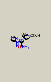 N#CCC1(n2cc(C(N)=O)c(Nc3ccncn3)n2)CCN(C(=O)O)CC1